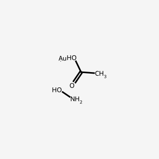 CC(=O)O.NO.[Au]